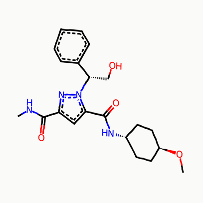 CNC(=O)c1cc(C(=O)N[C@H]2CC[C@H](OC)CC2)n([C@@H](CO)c2ccccc2)n1